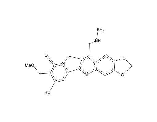 BNCc1c2c(nc3cc4c(cc13)OCO4)-c1cc(O)c(COC)c(=O)n1C2